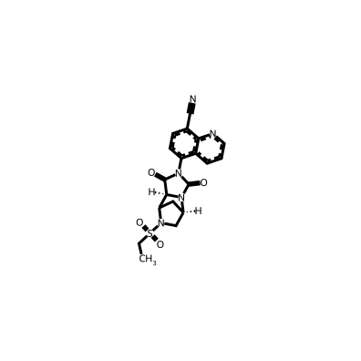 CCS(=O)(=O)N1C[C@H]2CC1[C@H]1C(=O)N(c3ccc(C#N)c4ncccc34)C(=O)N21